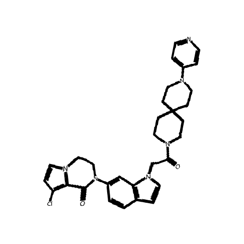 O=C(Cn1ccc2ccc(N3CCn4ccc(Cl)c4C3=O)cc21)N1CCC2(CC1)CCN(c1ccncc1)CC2